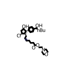 CCCCC(O)c1ccc([C@@H]2[C@@H](C/C=C\CCCC(=O)OCCN3CCOCC3)[C@H](Cl)C[C@H]2O)cc1